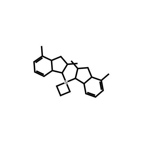 CC1=CC=CC2C1CC(C)C2[Si]1(C2C(C)CC3C(C)=CC=CC32)CCC1